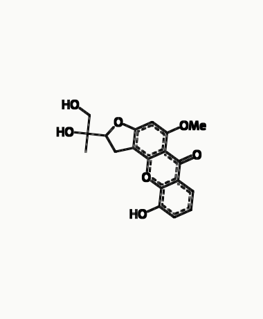 COc1cc2c(c3oc4c(O)cccc4c(=O)c13)CC(C(C)(O)CO)O2